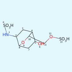 O=S(=O)(O)NC1CC2C(O)CC1OC2COS(=O)(=O)O